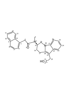 CN(C(=O)Cc1cccc2ccccc12)[C@@H]1CCc2c(CC(=O)O)c3ccccc3n2C1